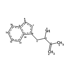 C=C(C)C(S)Cc1csc2ccccc12